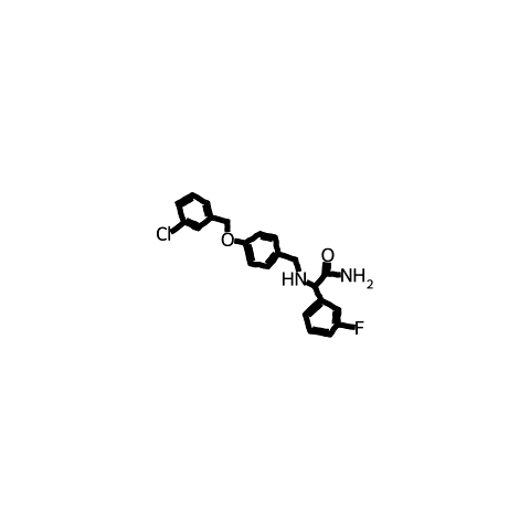 NC(=O)C(NCc1ccc(OCc2cccc(Cl)c2)cc1)c1cccc(F)c1